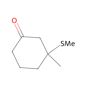 CSC1(C)CCCC(=O)C1